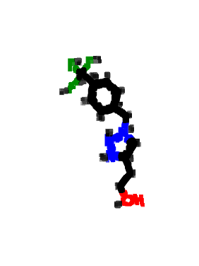 OCCc1cn(Cc2ccc(C(F)(F)F)cc2)nn1